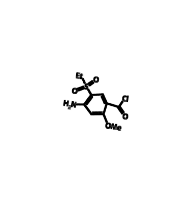 CCS(=O)(=O)c1cc(C(=O)Cl)c(OC)cc1N